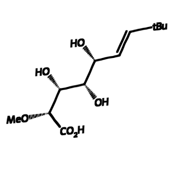 CO[C@@H](C(=O)O)[C@H](O)[C@@H](O)[C@H](O)C=CC(C)(C)C